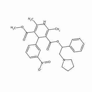 COC(=O)C1=C(C)NC(C)=C(C(=O)OC(CN2CCCC2)c2ccccc2)C1c1cccc([N+](=O)[O-])c1